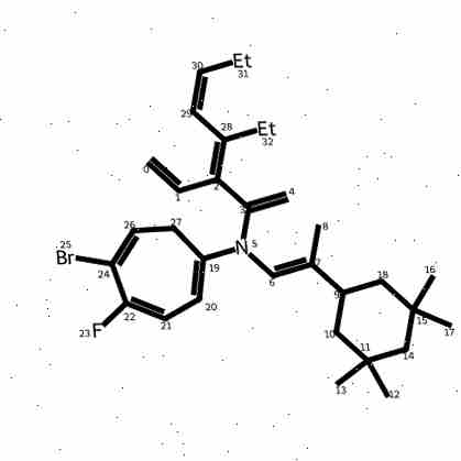 C=C/C(C(=C)N(/C=C(\C)C1CC(C)(C)CC(C)(C)C1)C1=CC=C(F)C(Br)=CC1)=C(\C=C/CC)CC